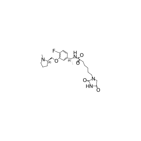 C[C@@H](NS(=O)(=O)CCCCCN1CC(=O)NC1=O)c1ccc(F)c(OC[C@H]2CCCN2C)c1